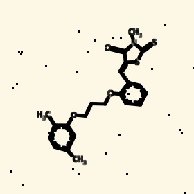 Cc1ccc(C)c(OCCCOc2ccccc2/C=C2\SC(=S)N(C)C2=O)c1